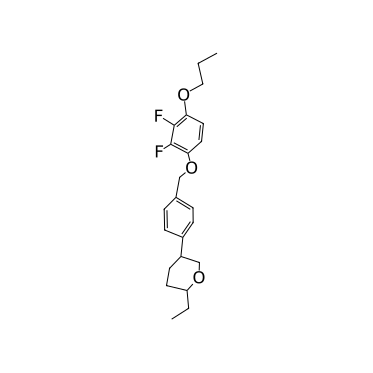 CCCOc1ccc(OCc2ccc(C3CCC(CC)OC3)cc2)c(F)c1F